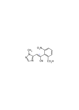 Cn1ncnc1/C=C(\C#N)c1c(C(=O)O)cccc1[N+](=O)[O-]